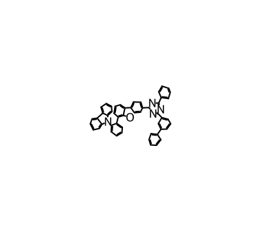 c1ccc(-c2cccc(-c3nc(-c4ccccc4)nc(-c4ccc5c(c4)oc4c(-c6ccccc6-n6c7ccccc7c7ccccc76)cccc45)n3)c2)cc1